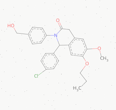 CCCOc1cc2c(cc1OC)CC(=O)N(c1ccc(CO)cc1)C2c1ccc(Cl)cc1